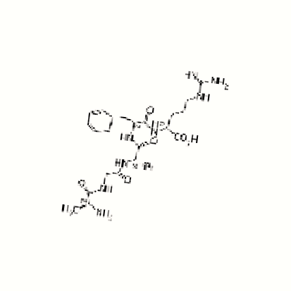 CC(C)[C@H](NC(=O)CNC(=O)[C@H](C)N)C(=O)N[C@@H](Cc1ccccc1)C(=O)N[C@@H](CCCNC(=N)N)C(=O)O